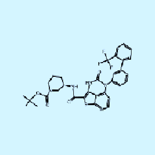 CC(C)(C)OC(=O)N1CCC[C@@H](NC(=O)c2sc3nccc4c3c2NC(=O)N4c2cccc(-c3ccccc3C(F)(F)F)c2)C1